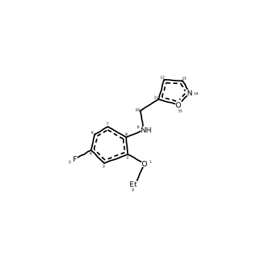 CCOc1cc(F)ccc1NCc1ccno1